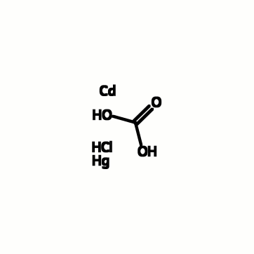 Cl.O=C(O)O.[Cd].[Hg]